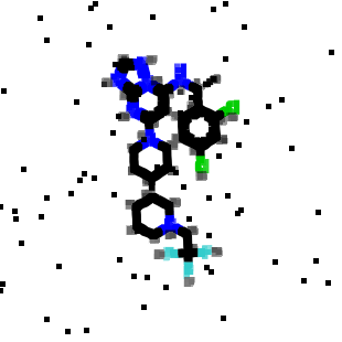 C[C@@H](Nc1cc(N2CCC([C@H]3CCCN(CC(F)(F)F)C3)CC2)nc2ncnn12)c1ccc(Cl)cc1Cl